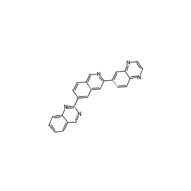 c1ccc2nc(-c3ccc4cnc(-c5ccc6nccnc6c5)cc4c3)ncc2c1